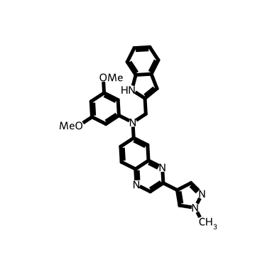 COc1cc(OC)cc(N(Cc2cc3ccccc3[nH]2)c2ccc3ncc(-c4cnn(C)c4)nc3c2)c1